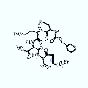 CCOC(=O)/C=C/C(=O)N(CC(=O)O)NC(=O)C(NC(=O)C(CCC(=O)O)NC(=O)C(CC(C)C)NC(=O)OCc1ccccc1)C(C)O